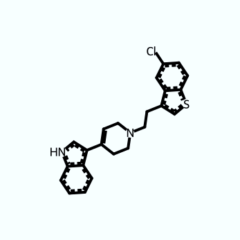 Clc1ccc2scc(CCN3CC=C(c4c[nH]c5ccccc45)CC3)c2c1